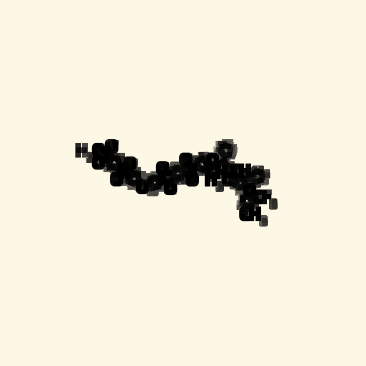 Cc1ccc(Oc2ccc(C(C)(C)c3ccc(Oc4ccc(-n5c(=O)c6cc7c(=O)n(-c8ccc(Oc9ccc(-n%10c(=O)c%11cc%12c(=O)n(C)c(=O)c%12cc%11c%10=O)cc9)cc8)c(=O)c7cc6c5=O)cc4C)c(C4CCCCC4)c3)cc2C2CCCCC2)c(C(F)(F)F)c1